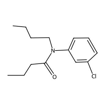 CCCCN(C(=O)CCC)c1cccc(Cl)c1